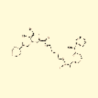 CC(C(=O)OCCCCOC(=O)c1cc(Br)c(N)c(CNC2CCCCC2)c1)c1cccc(C(=O)c2ccccc2)c1